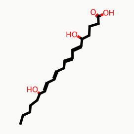 CCCCCC(O)C=CC=CCC=CC=CC(O)CCCC(=O)O